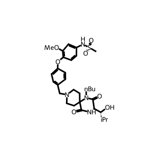 CCCCN1C(=O)[C@@H]([C@H](O)C(C)C)NC(=O)C12CCN(Cc1ccc(Oc3ccc(NS(C)(=O)=O)cc3OC)cc1)CC2